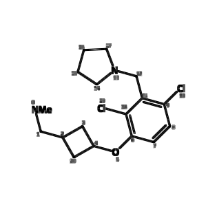 CNCC1CC(Oc2ccc(Cl)c(CN3CCCC3)c2Cl)C1